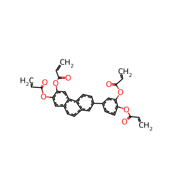 C=CC(=O)Oc1ccc(-c2ccc3c(ccc4cc(OC(=O)C=C)c(OC(=O)C=C)cc43)c2)cc1OC(=O)C=C